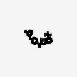 NC(Cc1cccc(C(F)(F)F)c1)C(=O)N1CCN(Cc2cccc(F)c2)CC1